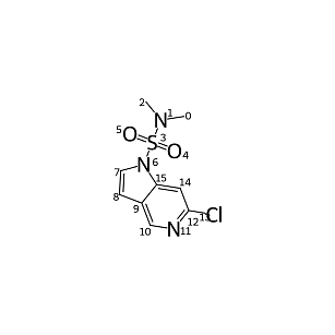 CN(C)S(=O)(=O)n1ccc2cnc(Cl)cc21